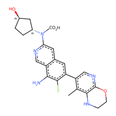 Cc1c(-c2cc3cc(N(C(=O)O)[C@@H]4CC[C@@H](O)C4)ncc3c(N)c2F)cnc2c1NCCO2